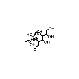 O=C(O)O.O=S(O)S(=O)O.OCC(O)C(O)C(O)C(O)CO